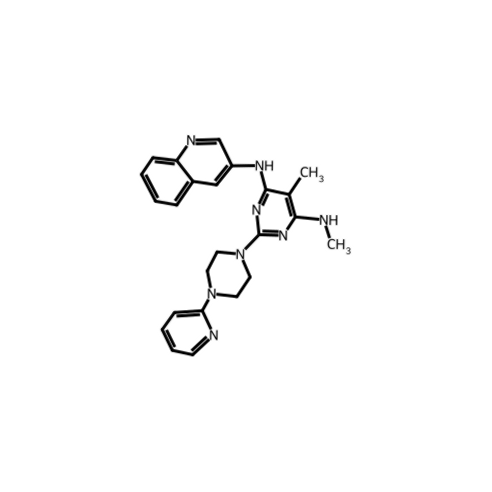 CNc1nc(N2CCN(c3ccccn3)CC2)nc(Nc2cnc3ccccc3c2)c1C